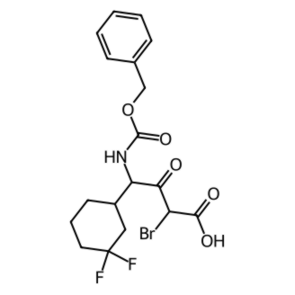 O=C(NC(C(=O)C(Br)C(=O)O)C1CCCC(F)(F)C1)OCc1ccccc1